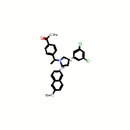 COC(=O)c1ccc(C(C)N2C[C@H](c3cc(Cl)cc(Cl)c3)C[C@@H]2c2ccc3cc(OC)ccc3c2)cc1